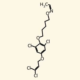 C/C=N\OCCCCCOc1c(Cl)cc(OCC=C(Cl)Cl)cc1Cl